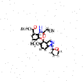 COC(=O)c1cccc(Oc2c(C)ccc3c2cnn3C2CCCCO2)c1NC(=O)CC#N